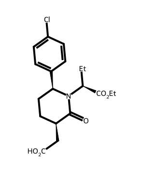 CCOC(=O)[C@H](CC)N1C(=O)[C@@H](CC(=O)O)CC[C@H]1c1ccc(Cl)cc1